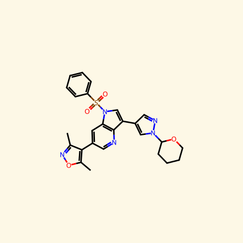 Cc1noc(C)c1-c1cnc2c(-c3cnn(C4CCCCO4)c3)cn(S(=O)(=O)c3ccccc3)c2c1